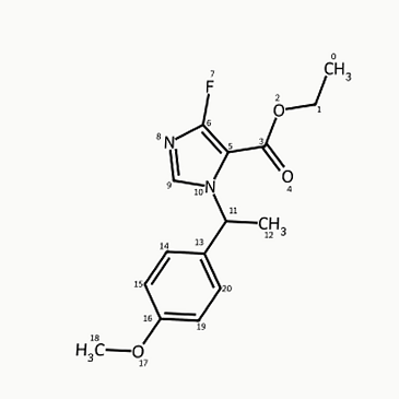 CCOC(=O)c1c(F)ncn1C(C)c1ccc(OC)cc1